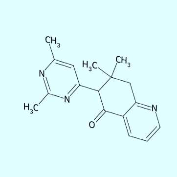 Cc1cc(C2C(=O)c3cccnc3CC2(C)C)nc(C)n1